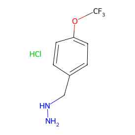 Cl.NNCc1ccc(OC(F)(F)F)cc1